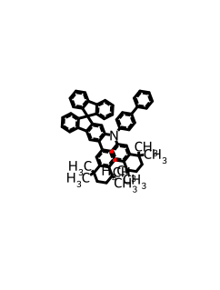 CC1(C)CCC(C)(C)c2cc(-c3cc4c(cc3N(c3ccc(-c5ccccc5)cc3)c3ccc5c(c3)C(C)(C)CCC5(C)C)C3(c5ccccc5-c5ccccc53)c3ccccc3-4)ccc21